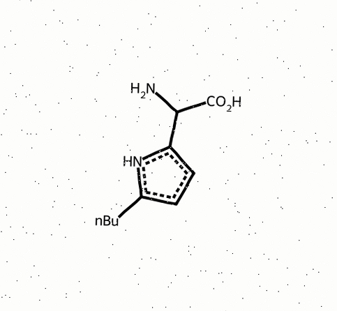 CCCCc1ccc(C(N)C(=O)O)[nH]1